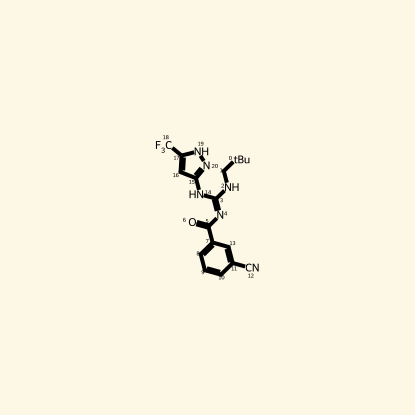 CC(C)(C)CN/C(=N/C(=O)c1cccc(C#N)c1)Nc1cc(C(F)(F)F)[nH]n1